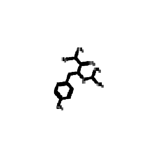 C=C(C(C)C)C(Cc1ccc(C)cc1)NC(C)C